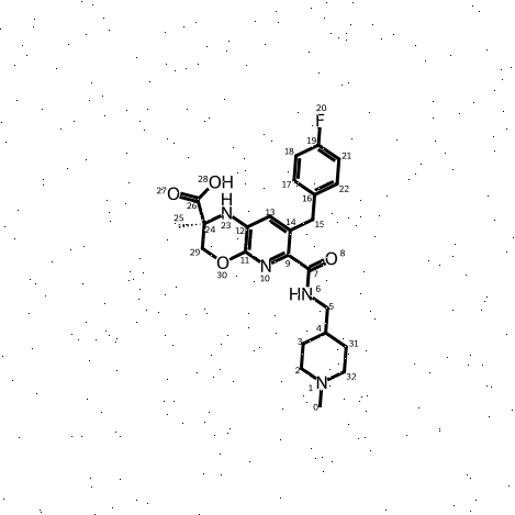 CN1CCC(CNC(=O)c2nc3c(cc2Cc2ccc(F)cc2)N[C@](C)(C(=O)O)CO3)CC1